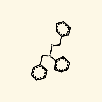 c1ccc(CON(Cc2ccccc2)c2ccccc2)cc1